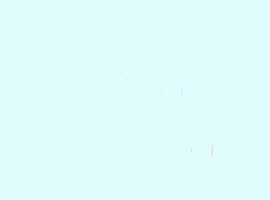 O=C(c1ccccc1)c1ccccc1Cc1ccc(O)cc1O